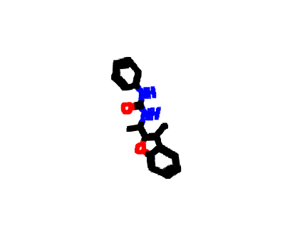 Cc1c(C(C)NC(=O)Nc2ccccc2)oc2ccccc12